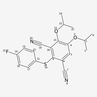 CC(C)Oc1cc(C#N)c(Sc2ccc(F)cc2)c(C#N)c1OC(C)C